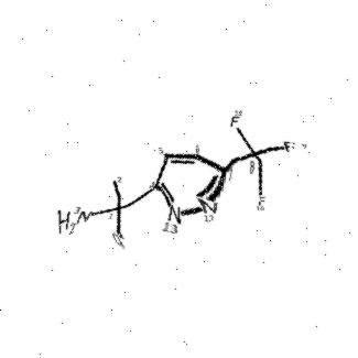 CC(C)(N)c1ccc(C(F)(F)F)nn1